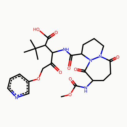 COC(=O)NC1CCC(=O)N2CCCC(C(=O)NC(C(=O)COc3cccnc3)C(C(=O)O)C(C)(C)C)N2C1=O